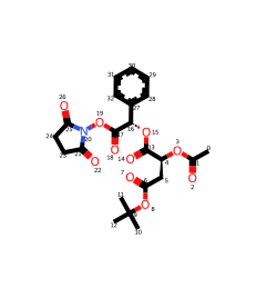 CC(=O)O[C@@H](CC(=O)OC(C)(C)C)C(=O)O[C@H](C(=O)ON1C(=O)CCC1=O)c1ccccc1